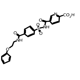 O=C(NCCOc1ccccc1)c1ccc(S(=O)(=O)NC(=O)c2ccc(C(=O)O)nc2)cc1